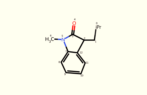 CC(C)CC1C(=O)N(C)c2ccccc21